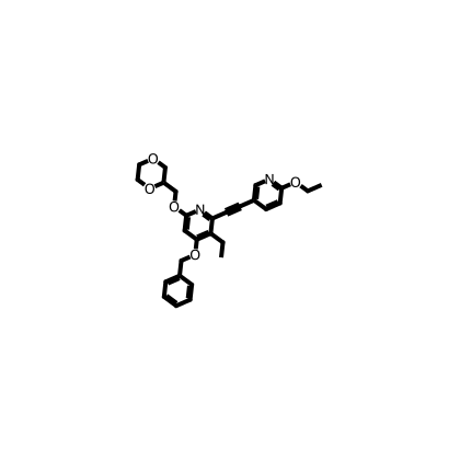 CCOc1ccc(C#Cc2nc(OCC3COCCO3)cc(OCc3ccccc3)c2CC)cn1